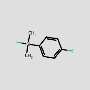 C[Si](C)(F)c1ccc(F)cc1